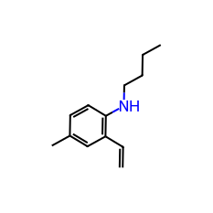 C=Cc1cc(C)ccc1NCCCC